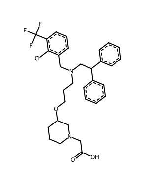 O=C(O)CN1CCCC(OCCCN(Cc2cccc(C(F)(F)F)c2Cl)CC(c2ccccc2)c2ccccc2)C1